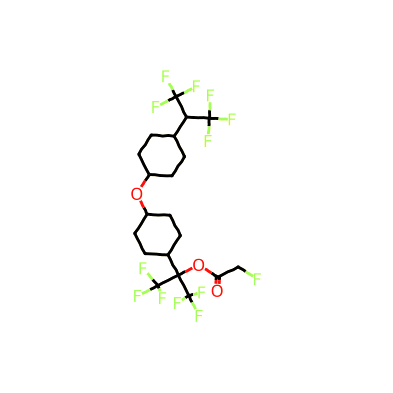 O=C(CF)OC(C1CCC(OC2CCC(C(C(F)(F)F)C(F)(F)F)CC2)CC1)(C(F)(F)F)C(F)(F)F